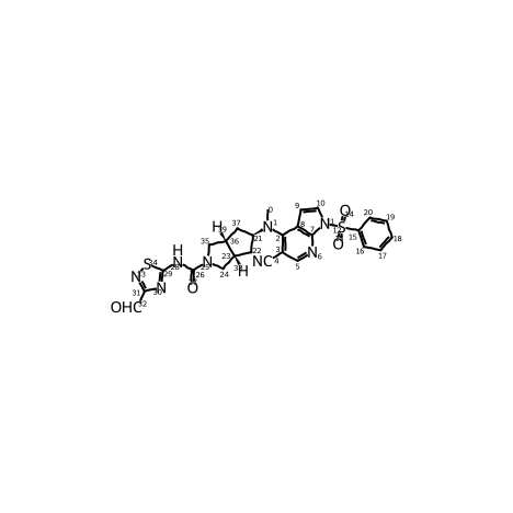 CN(c1c(C#N)cnc2c1ccn2S(=O)(=O)c1ccccc1)[C@H]1C[C@@H]2CN(C(=O)Nc3nc(C=O)ns3)C[C@@H]2C1